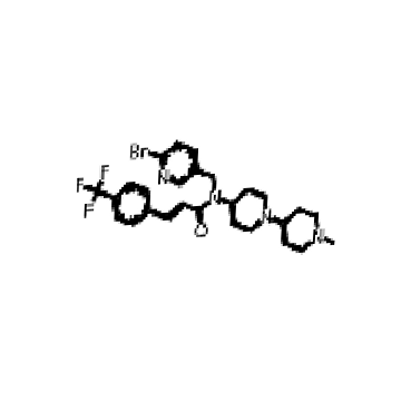 CN1CCC(N2CCC(N(Cc3ccc(Br)nc3)C(=O)/C=C/c3ccc(C(F)(F)F)cc3)CC2)CC1